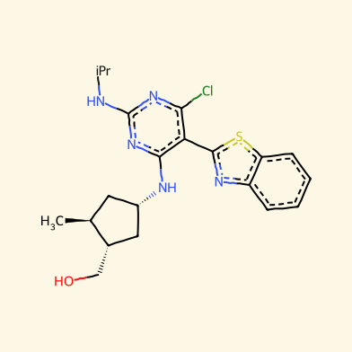 CC(C)Nc1nc(Cl)c(-c2nc3ccccc3s2)c(N[C@@H]2C[C@H](CO)[C@@H](C)C2)n1